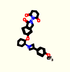 O=C1c2ccc(O[C@@H]3CCCC[C@@H]3N3CC(c4ccc(OC(F)(F)F)cc4)C3)cc2CN1N1C(=O)CCCC1=O